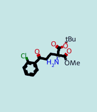 COC(=O)[C@@](N)(CCC(=O)c1ccccc1Cl)C(=O)OC(C)(C)C